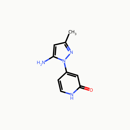 Cc1cc(N)n(-c2cc[nH]c(=O)c2)n1